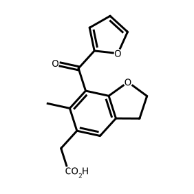 Cc1c(CC(=O)O)cc2c(c1C(=O)c1ccco1)OCC2